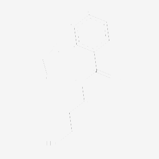 CCCCOC(=O)c1ccccc1.CCO